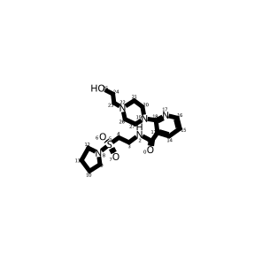 O=C(NCCS(=O)(=O)N1CCCC1)c1cccnc1N1CCN(CCO)CC1